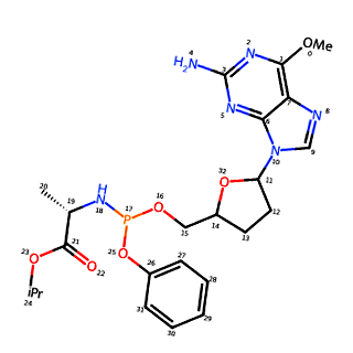 COc1nc(N)nc2c1ncn2C1CCC(COP(N[C@@H](C)C(=O)OC(C)C)Oc2ccccc2)O1